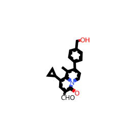 Cc1c(-c2ccc(CO)cc2)ccn2c(=O)c(C=O)cc(C3CC3)c12